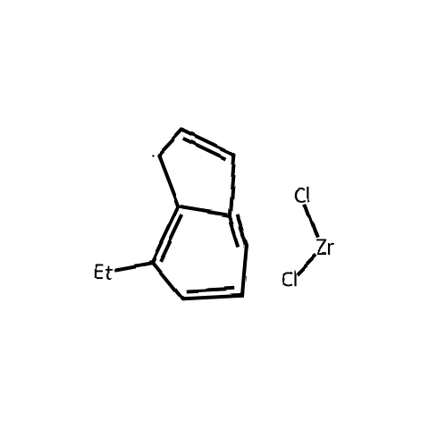 CCc1cccc2c1[CH]C=C2.[Cl][Zr][Cl]